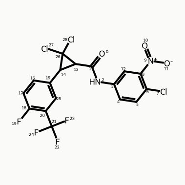 O=C(Nc1ccc(Cl)c([N+](=O)[O-])c1)C1C(c2ccc(F)c(C(F)(F)F)c2)C1(Cl)Cl